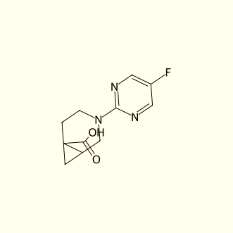 O=C(O)C12CCN(c3ncc(F)cn3)CC1C2